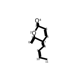 C=c1oc(=O)cc/c1=C/C=C\C